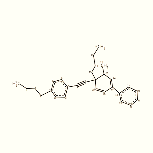 CCCCc1ccc(C#CC2(CCCC)C=CC(c3ccccc3)=CC2C)cc1